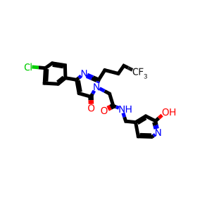 O=C(Cn1c(CCCC(F)(F)F)nc(-c2ccc(Cl)cc2)cc1=O)NCc1ccnc(O)c1